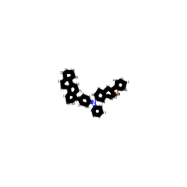 c1ccc(N(c2ccc(-c3cccc4c3ccc3c5ccccc5ccc43)cc2)c2ccc3cc4c(cc3c2)sc2ccccc24)cc1